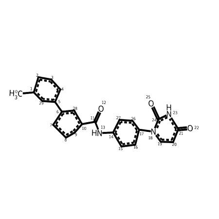 Cc1cccc(-c2cccc(C(=O)Nc3ccc(-n4ccc(=O)[nH]c4=O)cc3)c2)c1